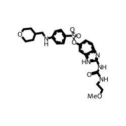 COCCNC(=O)Nc1nc2ccc(OS(=O)(=O)c3ccc(NCC4CCOCC4)cc3)cc2[nH]1